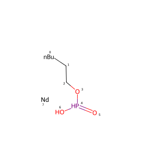 CCCCCCO[PH](=O)O.[Nd]